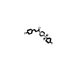 O=C(C=Cc1ccc(F)cc1)N1CCN(S(=O)(=O)c2ccc(F)cc2)CC1